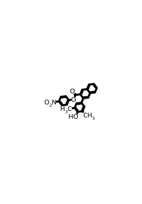 Cc1cc(-c2cc3ccccc3cc2C(=O)Oc2ccc([N+](=O)[O-])cc2)cc(C)c1O